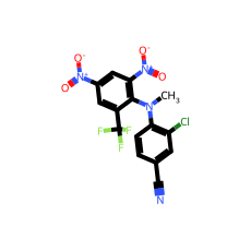 CN(c1ccc(C#N)cc1Cl)c1c([N+](=O)[O-])cc([N+](=O)[O-])cc1C(F)(F)F